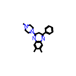 Cc1cc2c(cc1C)N=C(N1CCN(C)CC1)CC(c1ccccc1)=N2